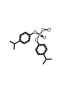 CC(C)c1ccc(OP(=O)(OCl)Oc2ccc(C(C)C)cc2)cc1